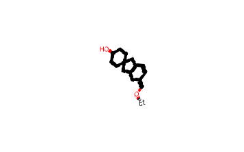 CCOC=C1C=CC2=C(C1)CC1(CCC(O)CC1)C2